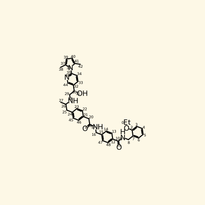 CCOc1ccccc1CNC(=O)c1ccc(CNC(=O)Cc2ccc(CC(C)NC[C@@H](O)c3ccc(-n4c(C)ccc4C)nc3)cc2)cc1